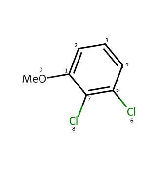 COc1cc[c]c(Cl)c1Cl